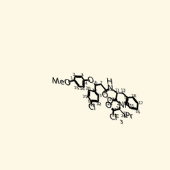 COc1ccc(OC(CC(=O)N[C@@H](Cc2ccccc2)C(=O)N[C@H](C(=O)C(F)(F)F)C(C)C)c2ccc(Cl)cc2)cc1